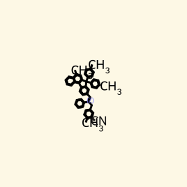 Cc1ccc(C2(c3ccc(C)cc3)c3cc(/C=C(/Cc4ccc(C)c(C#N)c4)c4ccccc4)ccc3-c3c2cc(C)c2ccccc32)cc1